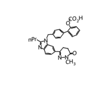 CCCc1nc2ccc(C3=NN(C)C(=O)CC3)cc2n1Cc1ccc(-c2ccccc2OC(=O)O)cc1